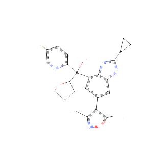 Cc1noc(C)c1-c1cc(C(O)(c2ccc(F)cn2)C2CCCO2)c2nc(C3CC3)[nH]c2c1